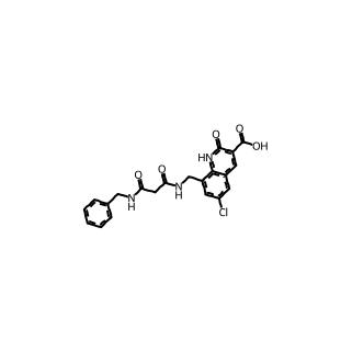 O=C(CC(=O)NCc1cc(Cl)cc2cc(C(=O)O)c(=O)[nH]c12)NCc1ccccc1